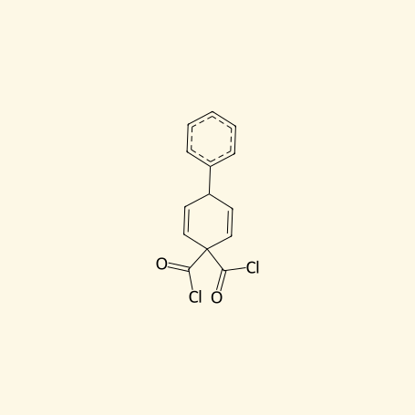 O=C(Cl)C1(C(=O)Cl)C=CC(c2ccccc2)C=C1